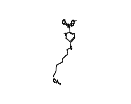 CCCCCCCCSc1c[c]c([N+](=O)[O-])cc1